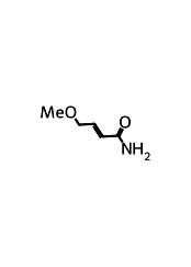 COC/C=C/C(N)=O